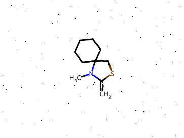 C=C1SCC2(CCCCC2)N1C